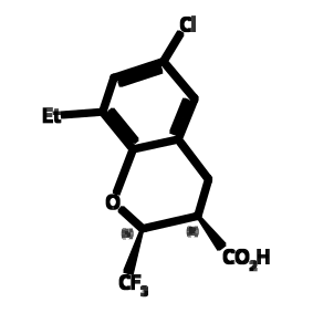 CCc1cc(Cl)cc2c1O[C@H](C(F)(F)F)[C@H](C(=O)O)C2